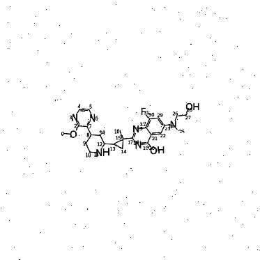 COc1nccnc1C1CCNC(C2CC2(C)c2nc(O)c3cc(N(C)CCO)cc(F)c3n2)C1